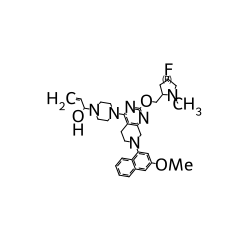 C=CC(O)N1CCN(c2nc(OCC3C[C@@H](F)CN3C)nc3c2CCN(c2cc(OC)cc4ccccc24)C3)CC1